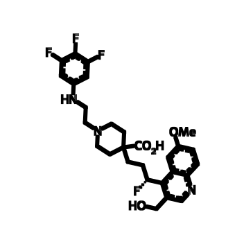 COc1ccc2ncc(CO)c([C@H](F)CCC3(C(=O)O)CCN(CCNc4cc(F)c(F)c(F)c4)CC3)c2c1